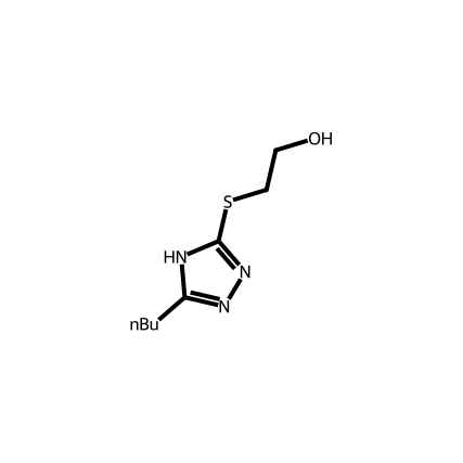 CCCCc1nnc(SCCO)[nH]1